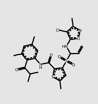 C=CC(Nc1onc(C)c1Cl)S(=O)(=O)c1cc(C)sc1C(=O)Nc1cc(C)cc(C)c1C(=O)C(C)C